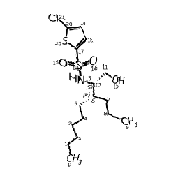 CCCCCC[C@@H](CCC)[C@@H](CO)NS(=O)(=O)c1ccc(Cl)s1